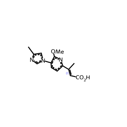 COc1nc(/C(C)=C/C(=O)O)ccc1-n1cnc(C)c1